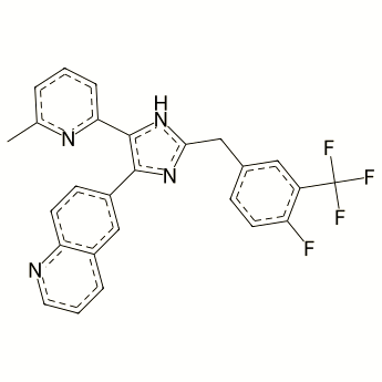 Cc1cccc(-c2[nH]c(Cc3ccc(F)c(C(F)(F)F)c3)nc2-c2ccc3ncccc3c2)n1